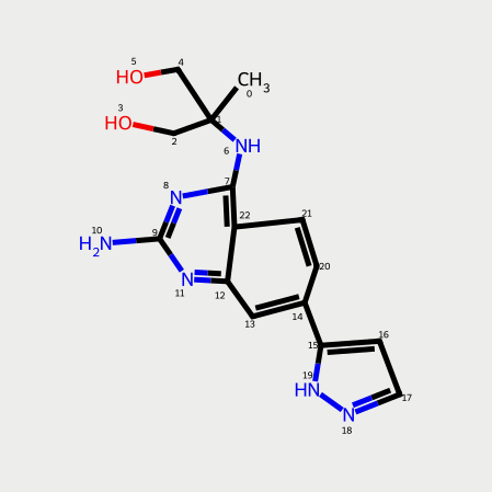 CC(CO)(CO)Nc1nc(N)nc2cc(-c3ccn[nH]3)ccc12